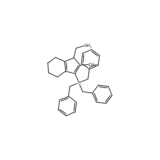 CC1=[C]([Ti]([CH2]c2ccccc2)([CH2]c2ccccc2)[CH2]c2ccccc2)C2=C(CCCC2)C1C[SiH3]